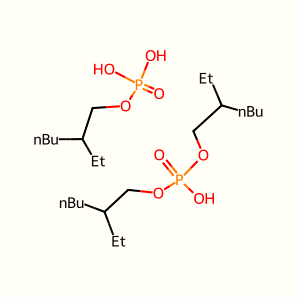 CCCCC(CC)COP(=O)(O)O.CCCCC(CC)COP(=O)(O)OCC(CC)CCCC